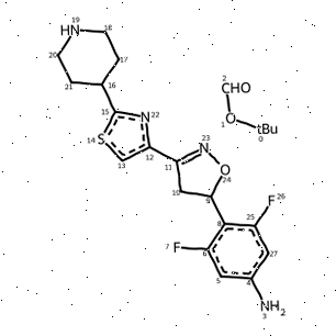 CC(C)(C)OC=O.Nc1cc(F)c(C2CC(c3csc(C4CCNCC4)n3)=NO2)c(F)c1